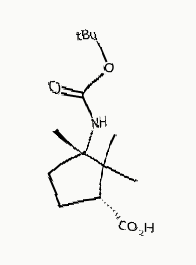 CC(C)(C)OC(=O)N[C@@]1(C)CC[C@@H](C(=O)O)C1(C)C